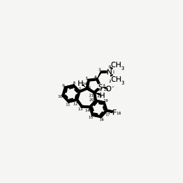 CN(C)C[C@@H]1C[C@@H]2c3ccccc3Cc3ccc(F)cc3[C@H]2[S@+]1[O-]